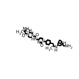 CC(Cc1ccc(-n2ccc(NC(=O)N3CCN(C(=O)C(C)(C)N)CC3)nc2=O)cc1)NC1C[C@H](CN)C2CC1C2